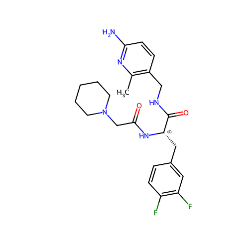 Cc1nc(N)ccc1CNC(=O)[C@H](Cc1ccc(F)c(F)c1)NC(=O)CN1CCCCC1